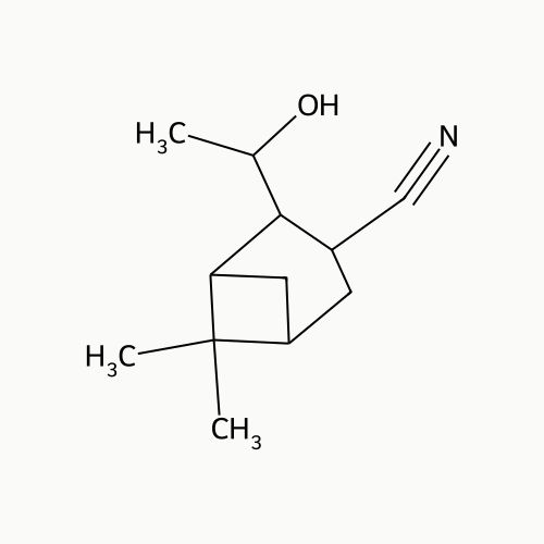 CC(O)C1C(C#N)CC2CC1C2(C)C